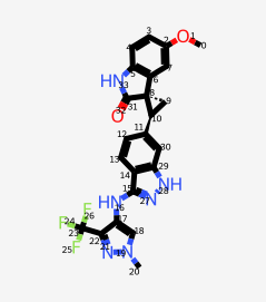 COc1ccc2c(c1)[C@]1(C[C@H]1c1ccc3c(Nc4cn(C)nc4C(F)(F)F)n[nH]c3c1)C(=O)N2